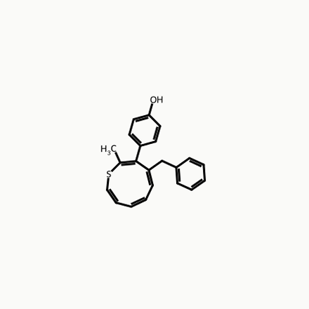 Cc1scccccc(Cc2ccccc2)c1-c1ccc(O)cc1